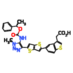 C[C@@H](OC(=O)Nc1c(-c2cc3sc(-c4ccc5scc(CC(=O)O)c5c4)cc3s2)nnn1C)c1ccccc1